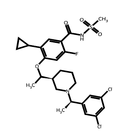 CC(Oc1cc(F)c(C(=O)NS(C)(=O)=O)cc1C1CC1)[C@H]1CCCN([C@H](C)c2cc(Cl)cc(Cl)c2)C1